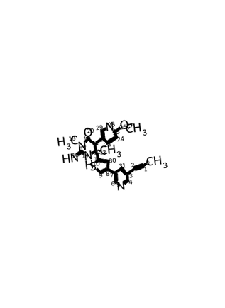 CC#Cc1cncc(-c2csc([C@@]3(C)NC(=N)N(C)C(=O)C3c3ccc(OC)nc3)c2)c1